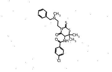 CN(CCN1C(=O)C(NC(=O)c2ccc(Cl)cc2)C(C)(C)SC1=S)Cc1ccccc1